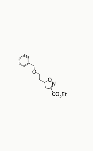 CCOC(=O)C1=NOC(CCOCc2c#cccc2)C1